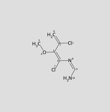 C=C(Cl)/C(OC)=C(Cl)\N=C/N